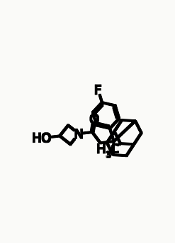 CC1C2CC3CC1CC(C2)C3(CC(=O)N1CC(O)C1)c1ccc(F)cc1